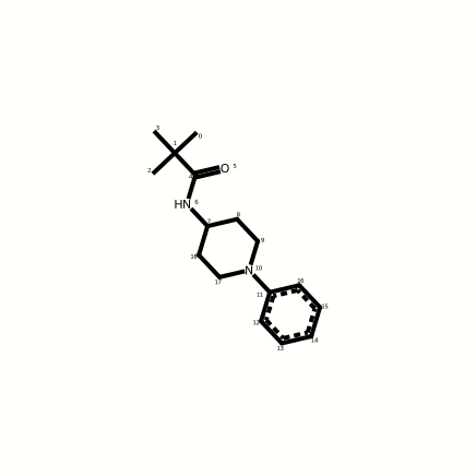 CC(C)(C)C(=O)NC1CCN(c2ccccc2)CC1